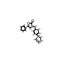 O=C1O[C@H](c2ccccc2)CN1CC1C=CC(N2CCOCC2)=CC1